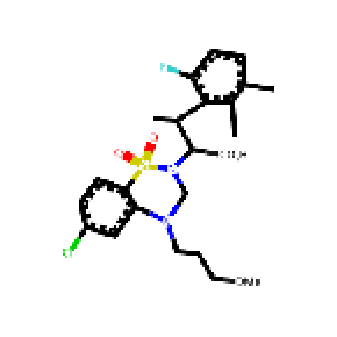 COCCCN1CN(C(C(=O)O)C(C)c2c(F)ccc(C)c2C)S(=O)(=O)c2ccc(Cl)cc21